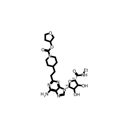 CCNC(=O)[C@H]1O[C@@H](n2cnc3c(N)nc(CCC4CCN(C(=O)OC5CCOC5)CC4)nc32)C(O)C1O